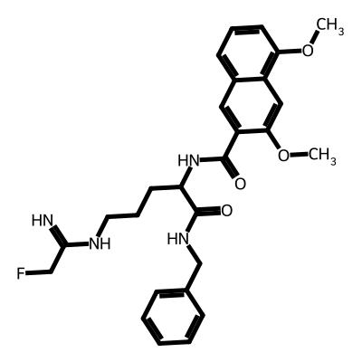 COc1cc2c(OC)cccc2cc1C(=O)NC(CCCNC(=N)CF)C(=O)NCc1ccccc1